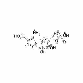 Nc1c(C(=O)O)ncn1[C@@H]1C[C@H](COP(=O)(O)O)[C@@H](O)[C@H]1O